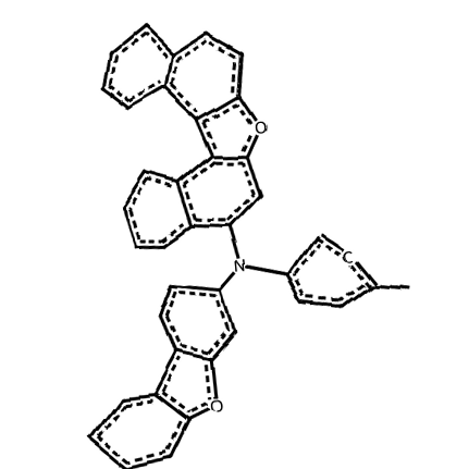 Cc1ccc(N(c2ccc3c(c2)oc2ccccc23)c2cc3oc4ccc5ccccc5c4c3c3ccccc23)cc1